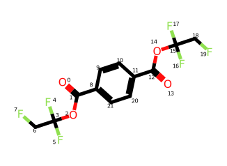 O=C(OC(F)(F)CF)c1ccc(C(=O)OC(F)(F)CF)cc1